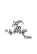 COC/C=C/C(=O)N1CCN(c2nc(OC[C@@H]3CCCN3C)nc3cc(-c4cc(N)cc(F)c4Cl)c4ccoc4c23)C[C@@H]1CC#N